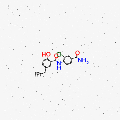 CC(C)Cc1ccc(O)c(C(=O)Nc2ccc(C(N)=O)cc2Cl)c1